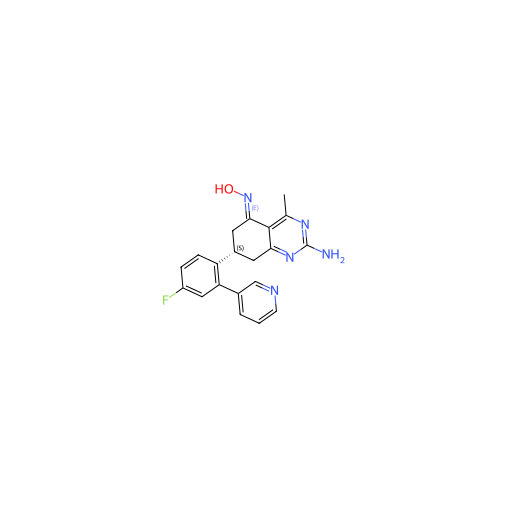 Cc1nc(N)nc2c1/C(=N/O)C[C@@H](c1ccc(F)cc1-c1cccnc1)C2